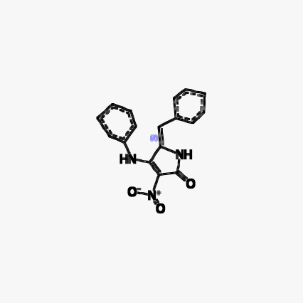 O=C1N/C(=C\c2ccccc2)C(Nc2ccccc2)=C1[N+](=O)[O-]